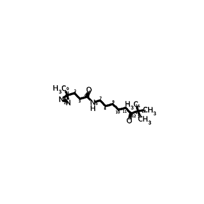 CC1(CCC(=O)NCCCCCC(=O)C(C)(C)C)N=N1